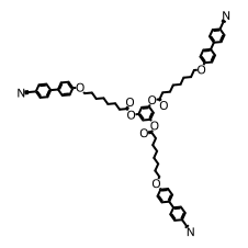 N#Cc1ccc(-c2ccc(OCCCCCCCC(=O)Oc3cc(OC(=O)CCCCCCCOc4ccc(-c5ccc(C#N)cc5)cc4)cc(OC(=O)CCCCCCCOc4ccc(-c5ccc(C#N)cc5)cc4)c3)cc2)cc1